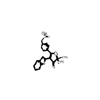 CC1(C)OC(c2ccc(C[SH](=O)=O)cc2)=C(c2cc3ccccc3s2)C1=O